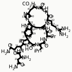 CC(C)CC1NC(=O)C(NC(=O)C(CCC(N)=O)NC(=O)C(N)CC(N)=O)C(C(C)C)c2ccc3c4c([nH]c3c2)-n2cnc(c2)CC(C(=O)O)NC(=O)CNC(=O)C(CCCN=C(N)N)NC(=O)C(C4)NC(=O)C(C(C)C)NC1=O